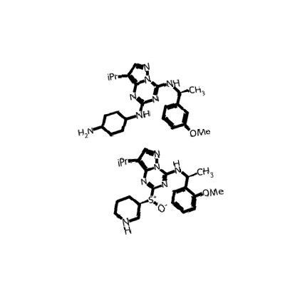 COc1cccc([C@H](C)Nc2nc(NC3CCC(N)CC3)nc3c(C(C)C)cnn23)c1.COc1ccccc1[C@H](C)Nc1nc([S+]([O-])[C@@H]2CCCNC2)nc2c(C(C)C)cnn12